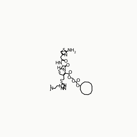 CN(C)CCn1nnnc1SCC1=C(C(=O)OCOC(=O)OC2CCCCCCCCCCC2)N2C(=O)[C@@H](NC(=O)Cc3csc(N)n3)[C@@H]2SC1